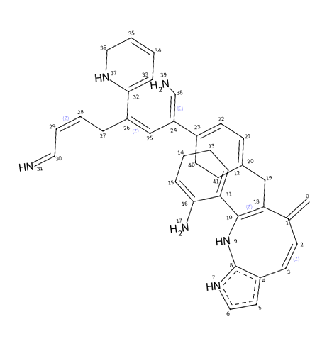 C=C1/C=C\c2cc[nH]c2N/C(C2=CCCC=C2N)=C\1CC1=CC=C(C(/C=C(/C/C=C\C=N)C2=CC=CCN2)=C/N)CC1